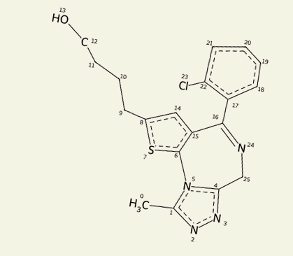 Cc1nnc2n1-c1sc(CCCCO)cc1C(c1ccccc1Cl)=NC2